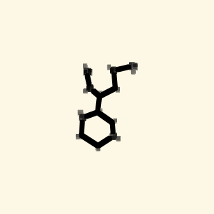 CCOCC(OCC)C1COCCO1